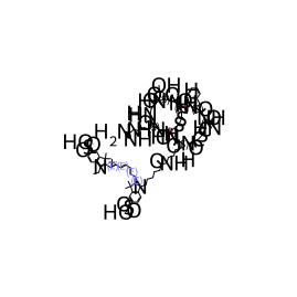 CC[N+]1=C(/C=C/C=C/C=C/C=C2/N(CCCCCC(=O)NCCCC[C@@H]3NC(=O)CSC[C@@H](C(=O)NC)NC(=O)[C@H](Cc4ccccc4)NC(=O)[C@@H]4CSSC[C@H](NC3=O)C(=O)N[C@@H](CCCNC(=N)N)C(=O)NCC(=O)N[C@@H](CC(=O)O)C(=O)N4)c3ccc(S(=O)(=O)O)cc3C2(C)C)C(C)(C)c2cc(S(=O)(=O)O)ccc21